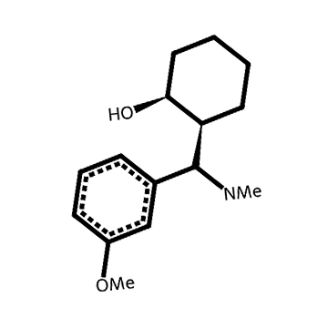 CNC(c1cccc(OC)c1)[C@@H]1CCCC[C@@H]1O